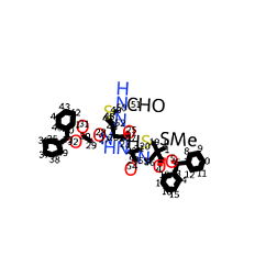 CSCC1(C(=O)OC(c2ccccc2)c2ccccc2)CS[C@@H]2C(NC(=O)C(=NOCC(=O)OC(c3ccccc3)c3ccccc3)c3csc(NC=O)n3)C(=O)N2C1